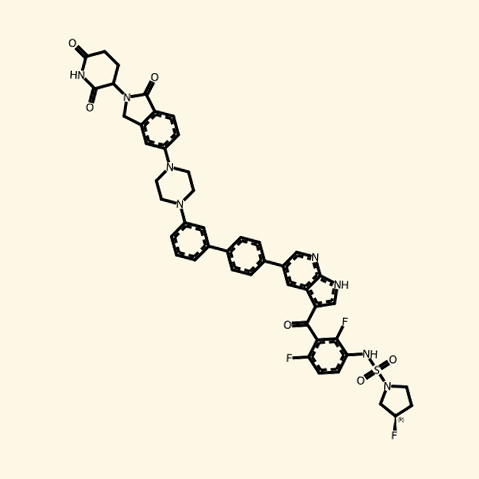 O=C1CCC(N2Cc3cc(N4CCN(c5cccc(-c6ccc(-c7cnc8[nH]cc(C(=O)c9c(F)ccc(NS(=O)(=O)N%10CC[C@@H](F)C%10)c9F)c8c7)cc6)c5)CC4)ccc3C2=O)C(=O)N1